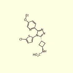 CCOc1ccc(-c2nnc([C@H]3C[C@H](NC(=O)O)C3)n2-c2ccc(Cl)s2)nc1